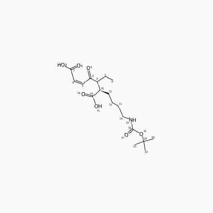 CCC(C(=O)/C=C\C(=O)O)[C@@H](CCCCNC(=O)OC(C)(C)C)C(=O)O